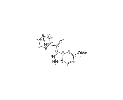 COc1ccc2[nH]nc(C(=O)N3CC4CCC3CN4)c2c1